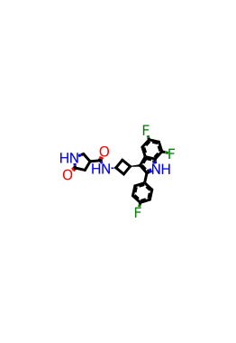 O=C1CC(C(=O)N[C@H]2C[C@H](c3c(-c4ccc(F)cc4)[nH]c4c(F)cc(F)cc43)C2)CN1